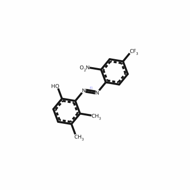 Cc1ccc(O)c(/N=N/c2ccc(C(F)(F)F)cc2[N+](=O)[O-])c1C